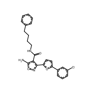 Nc1onc(-c2ccc(-c3cccc(Cl)c3)o2)c1C(=O)NCCCCc1ccccc1